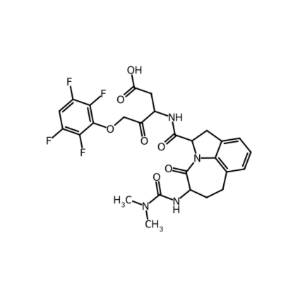 CN(C)C(=O)NC1CCc2cccc3c2N(C1=O)C(C(=O)NC(CC(=O)O)C(=O)COc1c(F)c(F)cc(F)c1F)C3